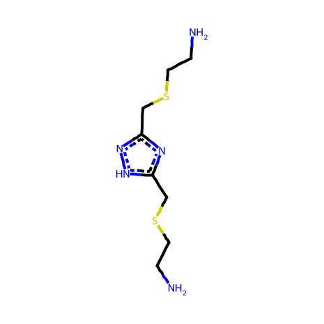 NCCSCc1n[nH]c(CSCCN)n1